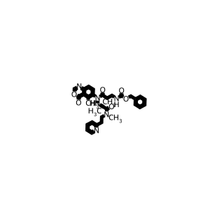 Cc1c(N(NC(C)(C)C(=O)N(C)CCc2ccccn2)C(=O)CCNC(=O)OCc2ccccc2)ccc2ncoc(=O)c12